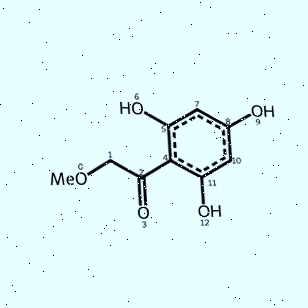 COCC(=O)c1c(O)cc(O)cc1O